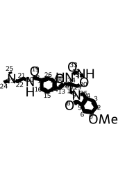 COc1ccc2c(c1)C(=O)N(C[C@]1(c3cc4ccc(C(=O)NCCN(C)C)cc4o3)CONC(=O)N1)C2